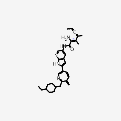 C=C1C=CC(c2cc3cc(NC(=O)/C(N)=C(\C)C(C)=C=CC)cnc3[nH]2)=CN=C1CC1CCC(CC)CC1